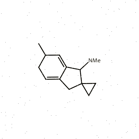 CNC1C2=CC(C)CC=C2CC12CC2